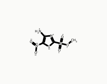 COS(=O)(=O)c1nc(N)c([N+](=O)[O-])s1